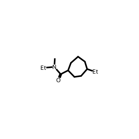 CCC1CCCC(C(=O)N(C)CC)CC1